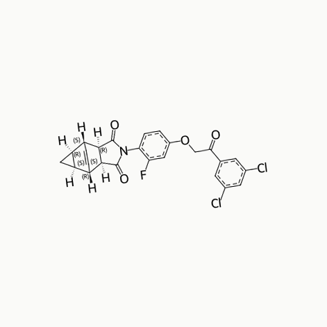 O=C(COc1ccc(N2C(=O)[C@@H]3[C@@H]4C=C[C@@H]([C@H]5C[C@@H]45)[C@@H]3C2=O)c(F)c1)c1cc(Cl)cc(Cl)c1